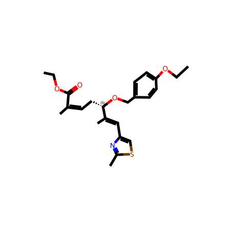 CCOC(=O)C(C)=CC[C@H](OCc1ccc(OCC)cc1)C(C)=Cc1csc(C)n1